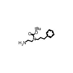 CC(C)(C)OC(=O)N(CCN)CCCc1ccccc1